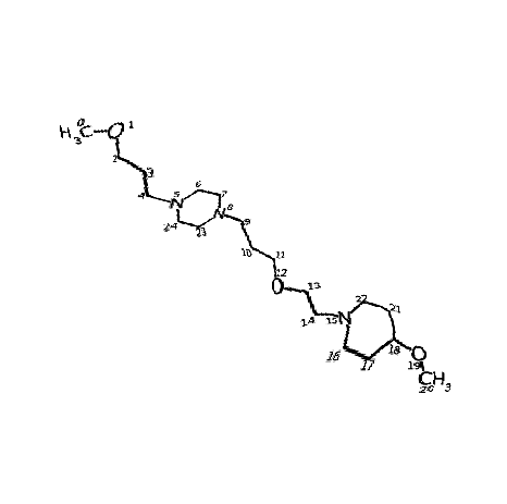 COCCCN1CCN(CCCOCCN2CCC(OC)CC2)CC1